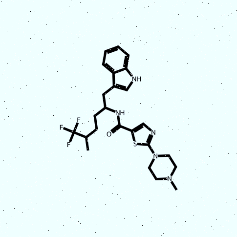 CC(CCC(Cc1c[nH]c2ccccc12)NC(=O)c1cnc(N2CCN(C)CC2)s1)C(F)(F)F